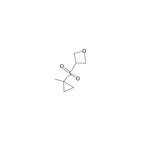 CC1(S(=O)(=O)C2COC2)CC1